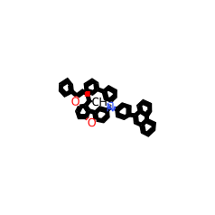 C[C@@H]1CC=C(c2ccccc2)Oc2ccc3oc4ccc(N(c5ccc(-c6cc7ccccc7c7ccccc67)cc5)c5cccc(-c6ccccc6)c5)cc4c3c21